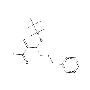 C=C(C(=O)O)[C@@H](COCc1ccccc1)O[Si](C)(C)C(C)(C)C